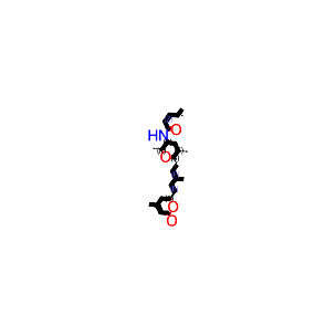 C[CH]/C=C\C(=O)N[C@@H]1C[C@H](C)[C@H](C/C=C(C)/C=C/[C@@H]2CC(C)=CC(=O)O2)O[C@@H]1C